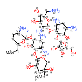 CNC[C@@H]1CC[C@@H](N)[C@@H](O[C@H]2[C@H](O)[C@@H](O[C@H]3OC[C@](C)(O)[C@H](NC)[C@H]3O)[C@H](N)C[C@@H]2N)O1.NC[C@H]1O[C@H](O[C@H]2[C@H](O[C@@H]3O[C@H](CO)[C@@H](O)[C@H]3O)C(O)[C@H](N)C[C@@H]2N)[C@H](N)[C@@H](O)[C@@H]1O